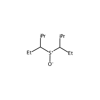 CCC(C(C)C)[S+]([O-])C(CC)C(C)C